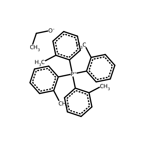 CC[O-].Cc1ccccc1[P+](c1ccccc1C)(c1ccccc1C)c1ccccc1C